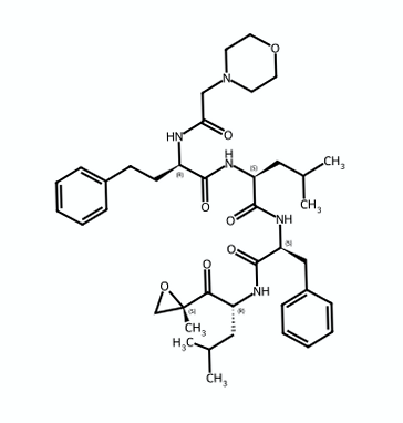 CC(C)C[C@H](NC(=O)[C@@H](CCc1ccccc1)NC(=O)CN1CCOCC1)C(=O)N[C@@H](Cc1ccccc1)C(=O)N[C@H](CC(C)C)C(=O)[C@]1(C)CO1